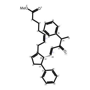 COC(=O)CCC/C=C\CC1=CCC(c2ccccc2)[C@H]1/C=C/C(=O)C(C)c1ccccc1